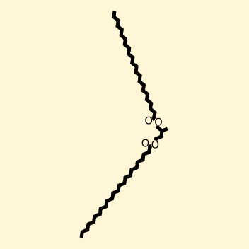 CCCCCCCCCCCCCCCCCCCCCCCC(=O)OCCC(C)COC(=O)CCCCCCCCCCCCCCCCCCCCCCC